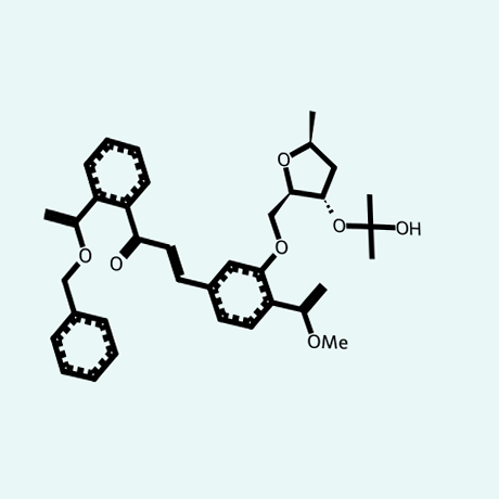 C=C(OC)c1ccc(/C=C/C(=O)c2ccccc2C(=C)OCc2ccccc2)cc1OC[C@H]1O[C@@H](C)C[C@@H]1OC(C)(C)O